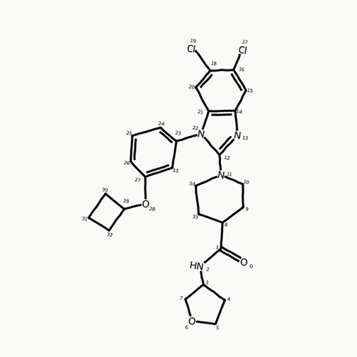 O=C(NC1CCOC1)C1CCN(c2nc3cc(Cl)c(Cl)cc3n2-c2cccc(OC3CCC3)c2)CC1